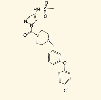 CS(=O)(=O)Nc1cnn(C(=O)N2CCN(Cc3cccc(Oc4ccc(Cl)cc4)c3)CC2)c1